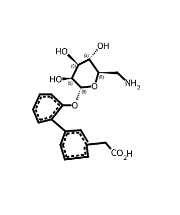 NC[C@H]1O[C@H](Oc2ccccc2-c2cccc(CC(=O)O)c2)[C@@H](O)[C@@H](O)[C@@H]1O